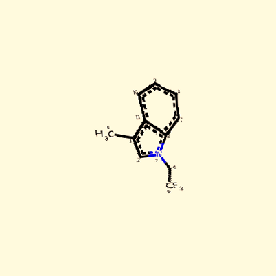 Cc1[c]n(CC(F)(F)F)c2ccccc12